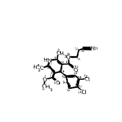 COC(=O)C1=C(C)NC(C)=C(C(=O)OCCC#N)C1c1ccc(Cl)c(Cl)c1